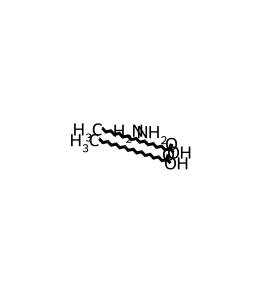 CCCCCCCCCCCCCCCCCC(=O)O.CCCCCCCCCCCCCCCCCC(=O)O.NN